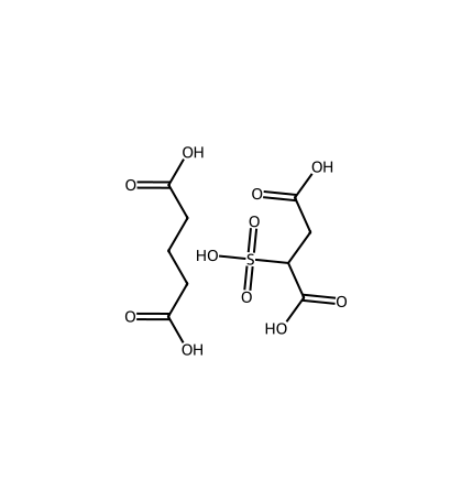 O=C(O)CC(C(=O)O)S(=O)(=O)O.O=C(O)CCCC(=O)O